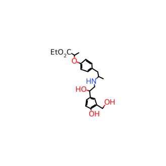 CCOC(=O)C(C)Oc1ccc(CC(C)NCC(O)c2ccc(O)c(CO)c2)cc1